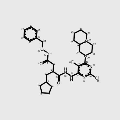 O=C(CC(CC1CCCC1)C(=O)NNc1nc(Cl)nc(N2CCN3CCCCC3C2)c1F)NOCc1ccccc1